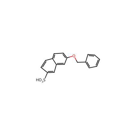 O=S(=O)(O)c1ccc2ccc(OCc3ccccc3)cc2c1